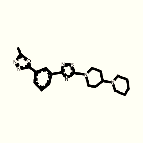 Cc1nnc(-c2cccc(-c3nsc(N4CCC(N5CCCCC5)CC4)n3)c2)o1